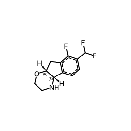 Fc1c(C(F)F)ccc2c1C[C@H]1OCCN[C@@H]21